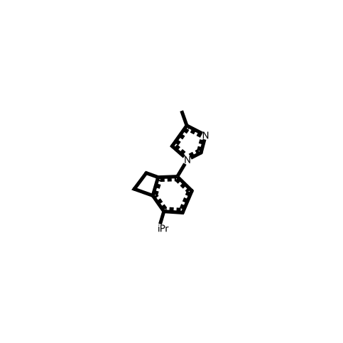 Cc1cn(-c2ccc(C(C)C)c3c2CC3)cn1